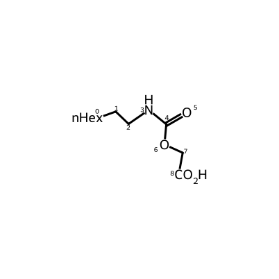 CCCCCCCCNC(=O)OCC(=O)O